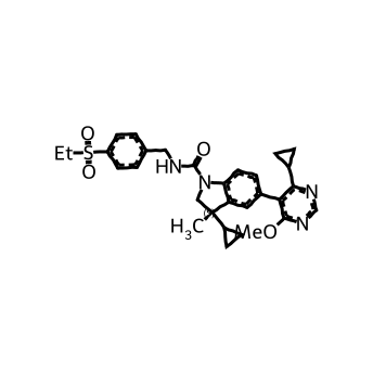 CCS(=O)(=O)c1ccc(CNC(=O)N2C[C@@](C)(C3CC3)c3cc(-c4c(OC)ncnc4C4CC4)ccc32)cc1